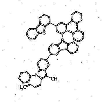 C=C/C=C\c1c(C)c2cc(-c3ccc4c(c3)c3ccccc3n4-c3cc(-c4cccc5c4sc4ccccc45)cc4c5ccccc5c5ccccc5c34)ccc2n1-c1ccccc1